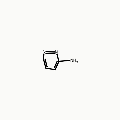 Nc1cc[c]nn1